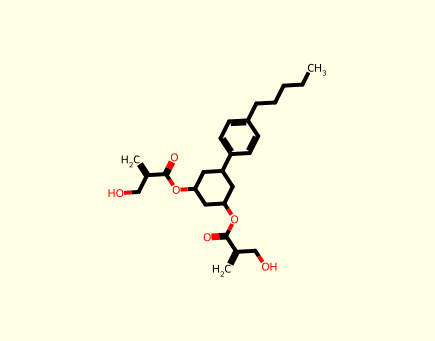 C=C(CO)C(=O)OC1CC(OC(=O)C(=C)CO)CC(c2ccc(CCCCC)cc2)C1